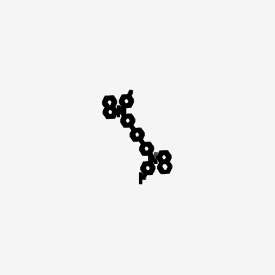 Cc1ccc(N(c2ccc(-c3ccc(-c4ccc(N(c5ccc(F)cc5)c5cccc6c5C=CCC6)cc4)cc3)cc2)c2cccc3ccccc23)cc1